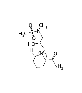 CN(C[C@H](O)CN1[C@H]2C[CH]C[C@]1(C(N)=O)CC2)S(C)(=O)=O